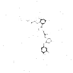 CCOC(=O)CCc1c(Cl)cccc1[C@@H](CC)OC[C@H](O)CN1CCC[C@H]1Cc1ccc(Cl)c(F)c1